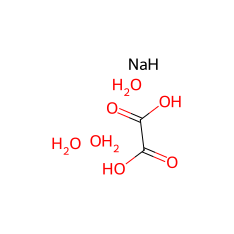 O.O.O.O=C(O)C(=O)O.[NaH]